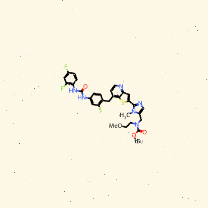 COCCN(Cc1cnc(-c2cc3nccc(Cc4ccc(NC(=O)Nc5ccc(F)cc5F)cc4F)c3s2)n1C)C(=O)OC(C)(C)C